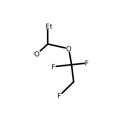 CCC([O])OC(F)(F)CF